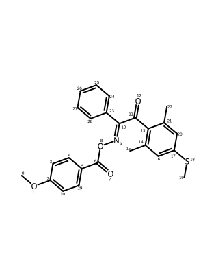 COc1ccc(C(=O)O/N=C(/C(=O)c2c(C)cc(SC)cc2C)c2ccccc2)cc1